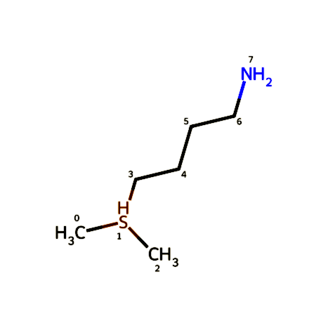 C[SH](C)CCCCN